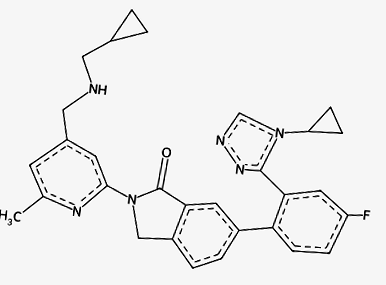 Cc1cc(CNCC2CC2)cc(N2Cc3ccc(-c4ccc(F)cc4-c4nncn4C4CC4)cc3C2=O)n1